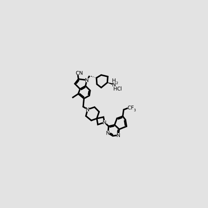 Cc1c(CN2CCC3(CC2)CN(c2ncnc4ccc(CC(F)(F)F)cc24)C3)ccc2c1cc(C#N)n2C[C@H]1CC[C@H](N)CC1.Cl